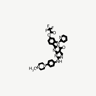 CN1CCN(c2ccc(Nc3ncc4c(=O)n5c(nc4n3)c3ccc(OC(=O)C(F)(F)F)cc3n5-c3ccccn3)cc2)CC1